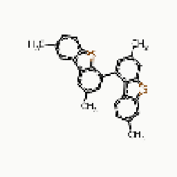 Cc1ccc2c(c1)sc1cc(C)cc(-c3cc(C)cc4c3sc3ccc(C)cc34)c12